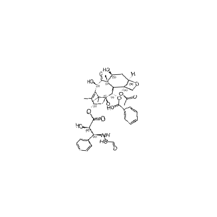 CC(=O)O[C@@]12CO[C@@H]1C[C@H](O)[C@@]1(C)C(=O)[C@H](O)C3=C(C)[C@@H](OC(=O)[C@H](O)[C@@H](NBC=O)c4ccccc4)C[C@@](O)([C@@H](OC(=O)c4ccccc4)C12)C3(C)C